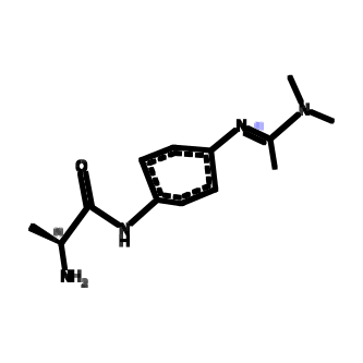 C/C(=N\c1ccc(NC(=O)[C@H](C)N)cc1)N(C)C